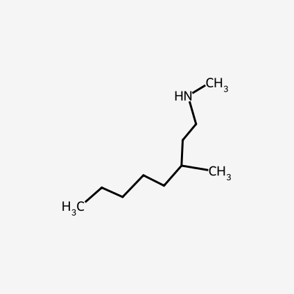 CCCCCC(C)CCNC